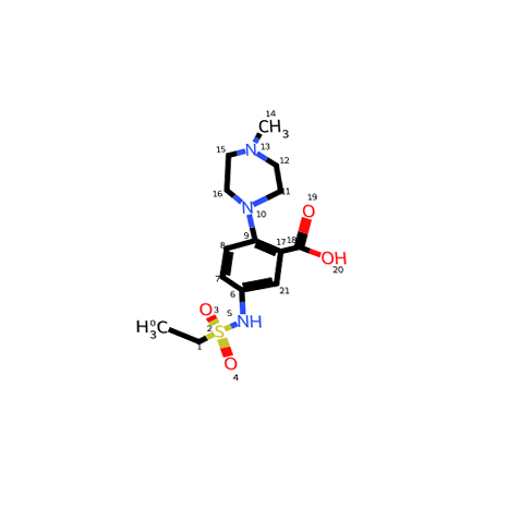 CCS(=O)(=O)Nc1ccc(N2CCN(C)CC2)c(C(=O)O)c1